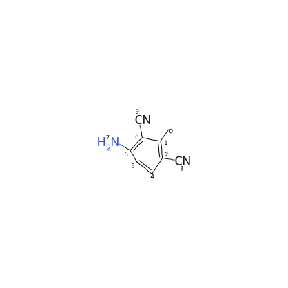 Cc1c(C#N)ccc(N)c1C#N